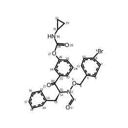 O=CN(OCc1ccc(Br)cc1)[C@@H](Cc1ccccc1)C(=O)c1cccc(OC(=O)NC2CC2)c1